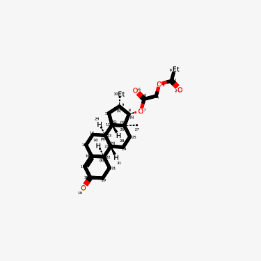 CCC(=O)OCC(=O)O[C@H]1[C@@H](CC)C[C@H]2[C@@H]3CCC4=CC(=O)CC[C@@H]4[C@H]3CC[C@@]21C